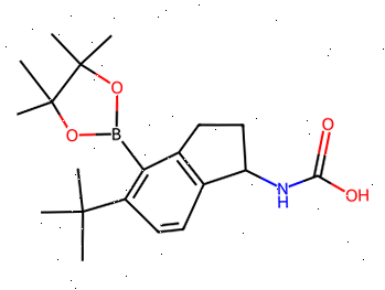 CC(C)(C)c1ccc2c(c1B1OC(C)(C)C(C)(C)O1)CCC2NC(=O)O